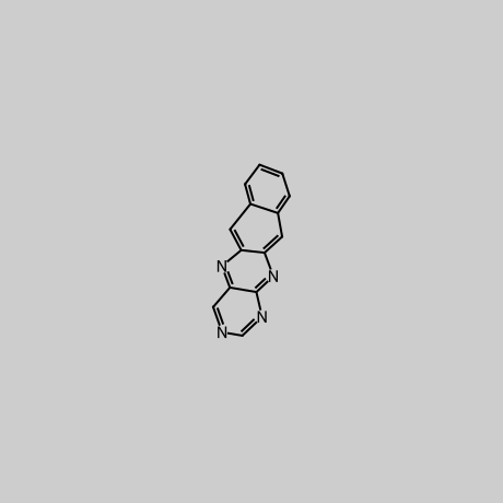 c1ccc2cc3nc4ncncc4nc3cc2c1